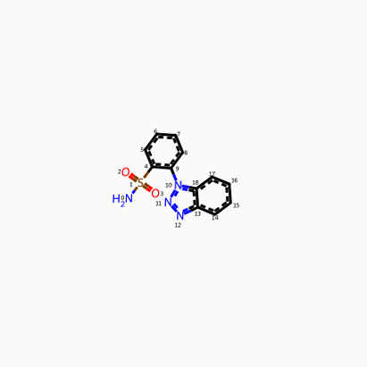 NS(=O)(=O)c1ccccc1-n1nnc2ccccc21